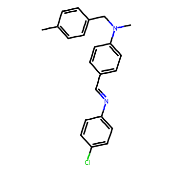 Cc1ccc(CN(C)c2ccc(/C=N/c3ccc(Cl)cc3)cc2)cc1